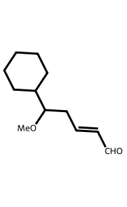 COC(C/C=C/C=O)C1CCCCC1